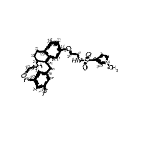 Cn1ccc(S(=O)(=O)NCCOc2ccc3c(c2)C(Cc2cc(F)cc(F)c2)C(NC=O)CC3)c1